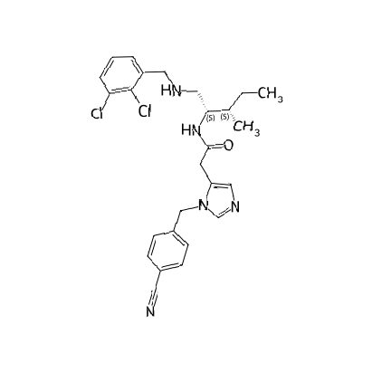 CC[C@H](C)[C@@H](CNCc1cccc(Cl)c1Cl)NC(=O)Cc1cncn1Cc1ccc(C#N)cc1